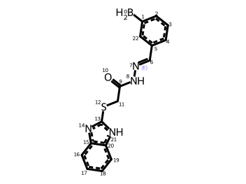 Bc1cccc(/C=N/NC(=O)CSc2nc3ccccc3[nH]2)c1